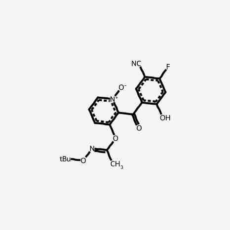 CC(=NOC(C)(C)C)Oc1ccc[n+]([O-])c1C(=O)c1cc(C#N)c(F)cc1O